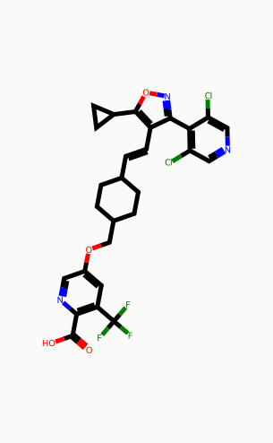 O=C(O)c1ncc(OCC2CCC(/C=C/c3c(-c4c(Cl)cncc4Cl)noc3C3CC3)CC2)cc1C(F)(F)F